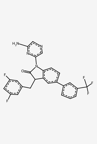 Nc1cncc(N2C(=O)C(Cc3cc(F)cc(F)c3)c3cc(-c4cccc(C(F)(F)F)c4)ccc32)n1